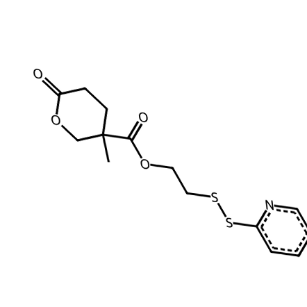 CC1(C(=O)OCCSSc2ccccn2)CCC(=O)OC1